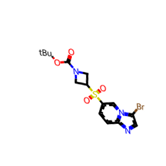 CC(C)(C)OC(=O)N1CC(S(=O)(=O)c2ccc3ncc(Br)n3c2)C1